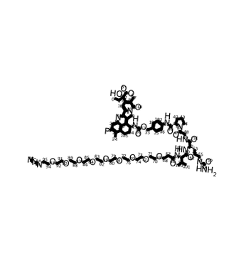 CC[C@@]1(O)C(=O)OCc2c1cc1n(c2=O)Cc2c-1nc1cc(F)c(C)c3c1c2[C@H](NC(=O)OCc1ccc(NC(=O)[C@@H]2CCCN2C(=O)CNC(=O)[C@H](CCCNC(N)=O)NC(=O)[C@@H](NC(=O)CCOCCOCCOCCOCCOCCOCCOCCOCCOCCN=[N+]=[N-])C(C)C)cc1)CC3